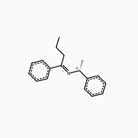 CCC/C(=N\[C@H](C)c1ccccc1)c1ccccc1